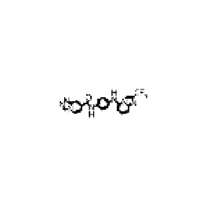 O=C(Nc1ccc(Nc2cccc3nc(C(F)(F)F)cn23)cc1)c1ccn2cnnc2c1